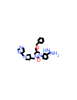 N=C(N)c1cccc(N2CC(COCc3ccccc3)CN(CC3CCN(Cc4ccncn4)CC3)C2=O)c1